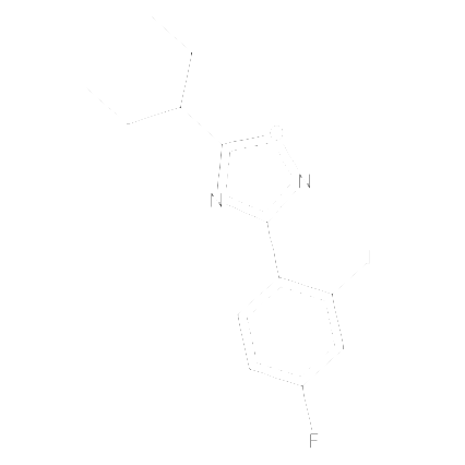 CCC(CC)c1nc(-c2ccc(F)cc2F)no1